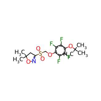 CC(C)(C)Oc1c(F)c(F)c(OCS(=O)(=O)C2=NOC(C)(C)C2)c(F)c1F